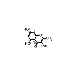 CC(=O)c1c(C)oc2cc(O)cc(O)c2c1=O